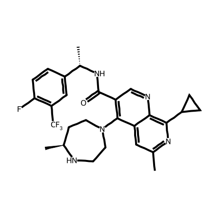 Cc1cc2c(N3CCN[C@@H](C)CC3)c(C(=O)N[C@@H](C)c3ccc(F)c(C(F)(F)F)c3)cnc2c(C2CC2)n1